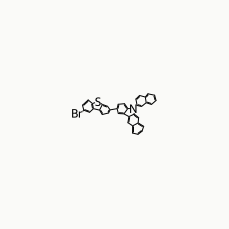 Brc1ccc2sc3cc(-c4ccc5c(c4)c4cc6ccccc6cc4n5-c4ccc5ccccc5c4)ccc3c2c1